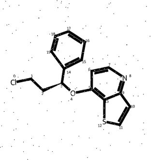 ClCC[C@H](Oc1ccnc2ccsc12)c1ccccc1